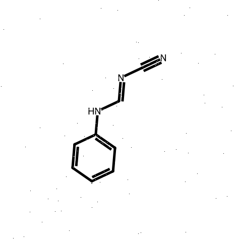 N#CN=CNc1cc[c]cc1